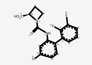 O=C(O)[C@H]1CCN1C(=O)Nc1cc(Cl)ccc1-c1cccc(F)c1F